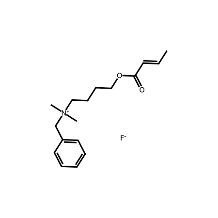 CC=CC(=O)OCCCC[N+](C)(C)Cc1ccccc1.[F-]